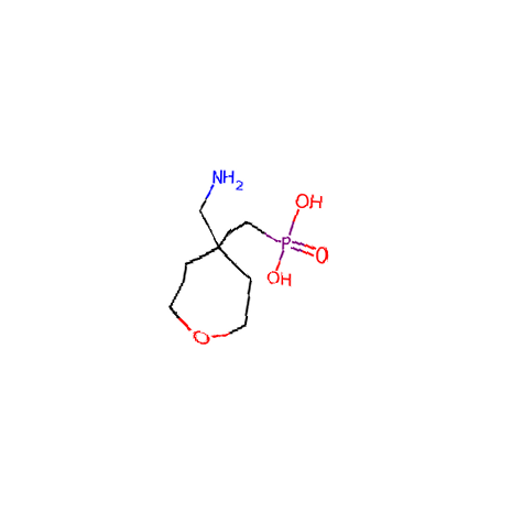 NCC1(CP(=O)(O)O)CCOCC1